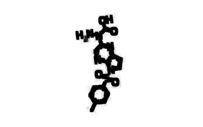 Cc1ccc(S(=O)(=O)n2ccc3nc(N(N)C(=O)O)cnc32)cc1